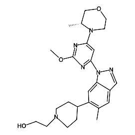 COc1nc(N2CCOC[C@H]2C)cc(-n2ncc3cc(C)c(C4CCN(CCO)CC4)cc32)n1